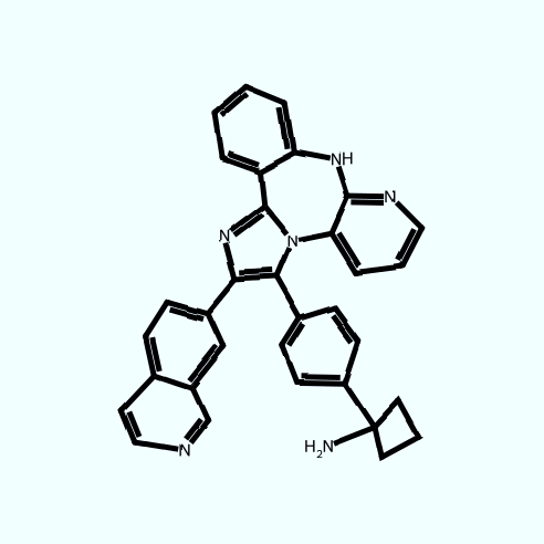 NC1(c2ccc(-c3c(-c4ccc5ccncc5c4)nc4n3-c3cccnc3Nc3ccccc3-4)cc2)CCC1